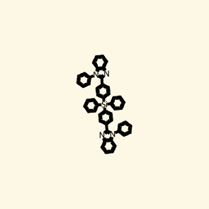 c1ccc(-n2c(-c3ccc([Si](c4ccccc4)(c4ccccc4)c4ccc(-c5nc6ccccc6n5-c5ccccc5)cc4)cc3)nc3ccccc32)cc1